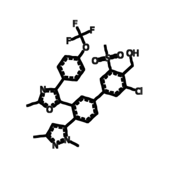 Cc1cc(-c2ccc(-c3cc(Cl)c(CO)c(S(C)(=O)=O)c3)cc2-c2oc(C)nc2-c2ccc(OC(F)(F)F)cc2)n(C)n1